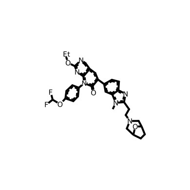 CCOc1ncc2cc(-c3ccc4nc(CCN5CC6CCC(C5)O6)n(C)c4c3)c(=O)n(-c3ccc(OC(F)F)cc3)c2n1